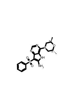 C[C@@H]1CN(c2ncnc3c(S(=O)(=O)c4ccccc4)c(N)[nH]c23)C[C@@H](C)O1